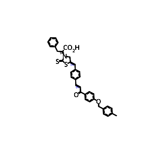 Cc1ccc(COc2ccc(C(=O)/C=C/c3ccc(/C=C4/CN([C@@H](Cc5ccccc5)C(=O)O)C(=S)S4)cc3)cc2)cc1